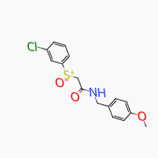 COc1ccc(CNC(=O)C[S+]([O-])c2cccc(Cl)c2)cc1